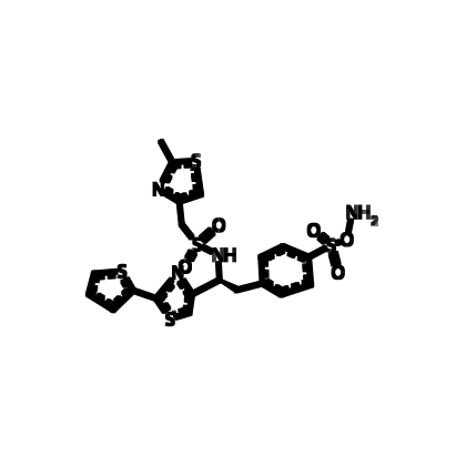 Cc1nc(CS(=O)(=O)N[C@@H](Cc2ccc(S(=O)(=O)ON)cc2)c2csc(-c3cccs3)n2)cs1